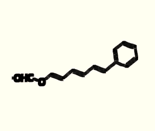 O=[C]OC=CC=CC=Cc1ccccc1